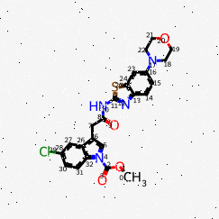 COC(=O)n1cc(CC(=O)Nc2nc3ccc(N4CCOCC4)cc3s2)c2cc(Cl)ccc21